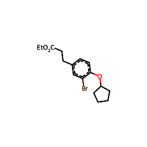 CCOC(=O)CCc1ccc(OC2CCCC2)c(Br)c1